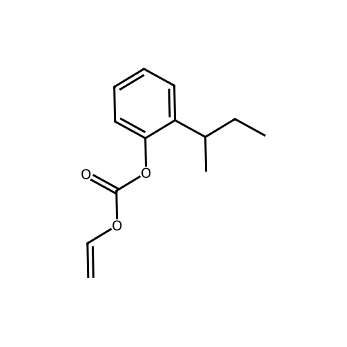 C=COC(=O)Oc1ccccc1C(C)CC